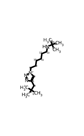 CC(C)(C)Cc1cn(CCCCCCNC(C)(C)C)nn1